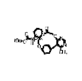 Cc1ncnc2c1C1=CCC(CC1)OC[C@H]1[C@@H](NC(=O)OC(C)(C)C)CCCN1C(=O)CO2